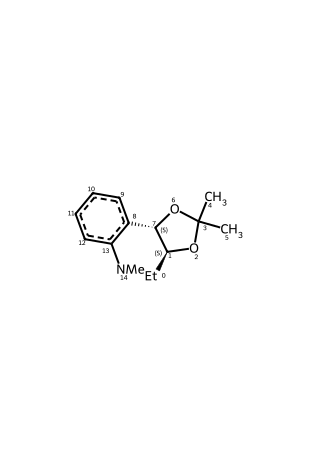 [CH2]C[C@@H]1OC(C)(C)O[C@H]1c1ccccc1NC